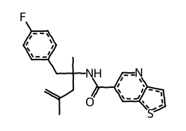 C=C(C)CC(C)(Cc1ccc(F)cc1)NC(=O)c1cnc2ccsc2c1